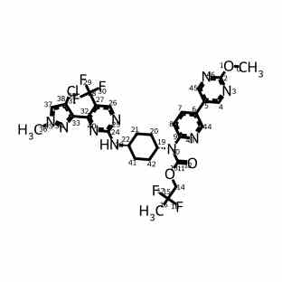 COc1ncc(-c2ccc(N(C(=O)OCC(C)(F)F)[C@H]3CC[C@H](Nc4ncc(C(F)(F)F)c(-c5nn(C)cc5Cl)n4)CC3)nc2)cn1